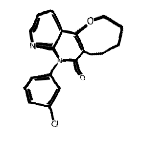 O=c1c2c(c3cccnc3n1-c1cccc(Cl)c1)OCCCC2